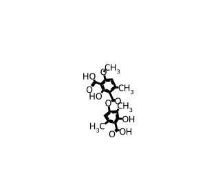 COc1cc(C)c(C(=O)Oc2cc(C)c(C(=O)O)c(O)c2C)c(O)c1C(=O)O